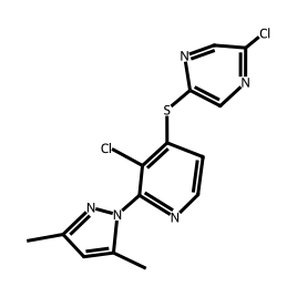 Cc1cc(C)n(-c2nccc(Sc3cnc(Cl)cn3)c2Cl)n1